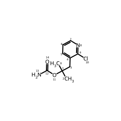 CC(C)(Cc1cccnc1Cl)OC(N)=O